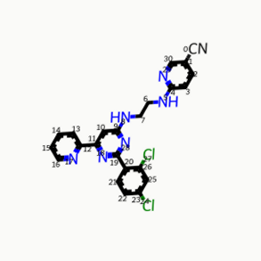 N#Cc1ccc(NCCNc2cc(-c3ccccn3)nc(-c3ccc(Cl)cc3Cl)n2)nc1